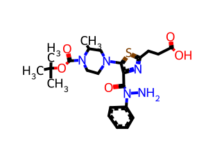 CC1CN(c2sc(CCC(=O)O)nc2C(=O)N(N)c2ccccc2)CCN1C(=O)OC(C)(C)C